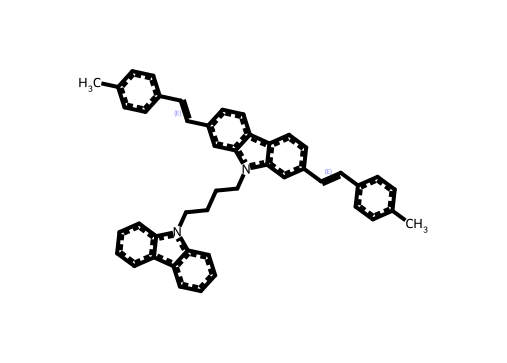 Cc1ccc(/C=C/c2ccc3c4ccc(/C=C/c5ccc(C)cc5)cc4n(CCCCn4c5ccccc5c5ccccc54)c3c2)cc1